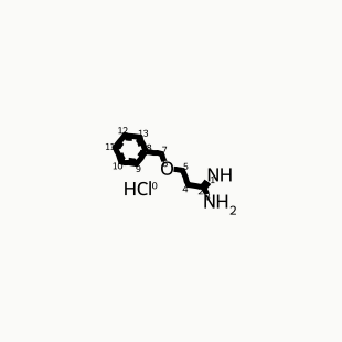 Cl.N=C(N)CCOCc1ccccc1